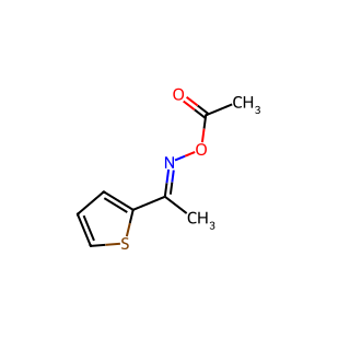 CC(=O)ON=C(C)c1cccs1